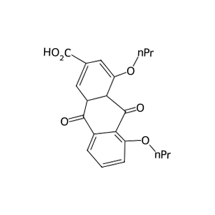 CCCOC1=CC(C(=O)O)=CC2C(=O)c3cccc(OCCC)c3C(=O)C12